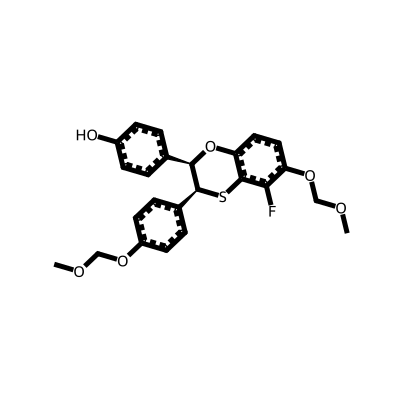 COCOc1ccc([C@@H]2Sc3c(ccc(OCOC)c3F)O[C@@H]2c2ccc(O)cc2)cc1